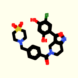 O=C(c1ccc(CN2CCS(=O)(=O)CC2)cc1)N1CCc2noc(-c3cc(Cl)c(O)cc3O)c2C1